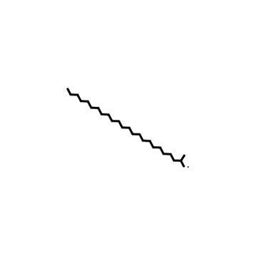 [CH2]C(C)CCCCCCCCCCCCCCCCCCCCCC